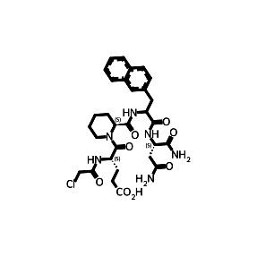 NC(=O)C[C@H](NC(=O)C(Cc1ccc2ccccc2c1)NC(=O)[C@@H]1CCCCN1C(=O)[C@H](CCC(=O)O)NC(=O)CCl)C(N)=O